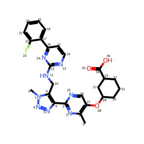 Cc1nc(-c2nnn(C)c2CNc2nccc(-c3ccccc3F)n2)ncc1OC1CCCC(C(=O)O)C1